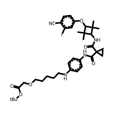 CC(C)(C)OC(=O)COCCCCCNc1ccc(NC(=O)C2(C(=O)NC3C(C)(C)C(Oc4ccc(C#N)c(I)c4)C3(C)C)CC2)cc1